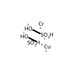 O=S(=O)(O)O.O=S(=O)(O)O.[Cr].[Cu]